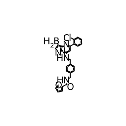 Bc1cnn2c(NCc3ccc(CNC(=O)c4ccco4)cc3)cc(-c3ccccc3Cl)nc12